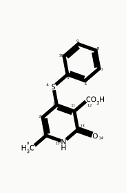 Cc1cc(Sc2ccccc2)c(C(=O)O)c(=O)[nH]1